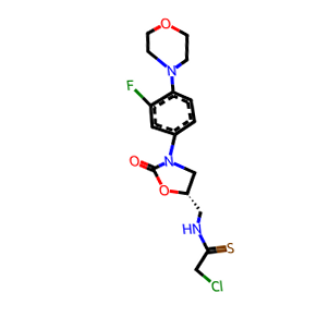 O=C1O[C@@H](CNC(=S)CCl)CN1c1ccc(N2CCOCC2)c(F)c1